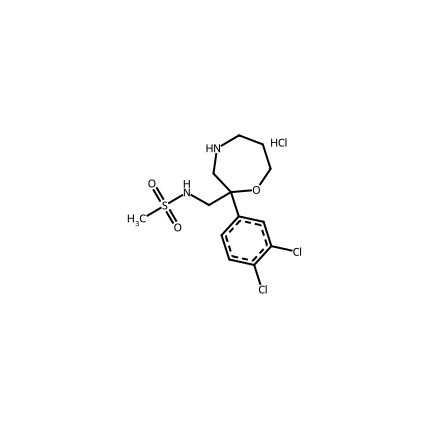 CS(=O)(=O)NCC1(c2ccc(Cl)c(Cl)c2)CNCCCO1.Cl